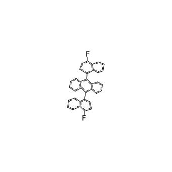 Fc1ccc(-c2c3ccccc3c(-c3ccc(F)c4ccccc34)c3ccccc23)c2ccccc12